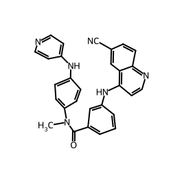 CN(C(=O)c1cccc(Nc2ccnc3ccc(C#N)cc23)c1)c1ccc(Nc2ccncc2)cc1